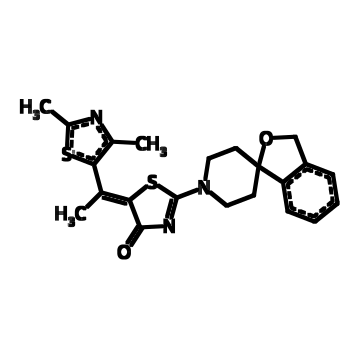 C/C(=C1/SC(N2CCC3(CC2)OCc2ccccc23)=NC1=O)c1sc(C)nc1C